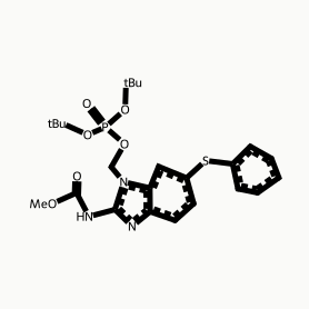 COC(=O)Nc1nc2ccc(Sc3ccccc3)cc2n1COP(=O)(OC(C)(C)C)OC(C)(C)C